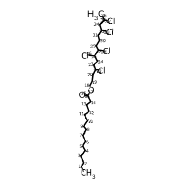 CCCCCCCCCCCCCCCC(=O)OCCCC(Cl)CCC(Cl)C(Cl)CCCC(Cl)CC(C)Cl